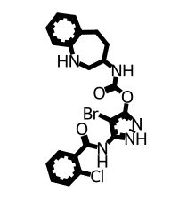 O=C(NC1CCc2ccccc2NC1)Oc1n[nH]c(NC(=O)c2ccccc2Cl)c1Br